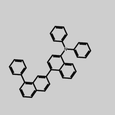 c1ccc(-c2cccc3ccc(-c4ccc(N(c5ccccc5)c5ccccc5)c5ccccc45)cc23)cc1